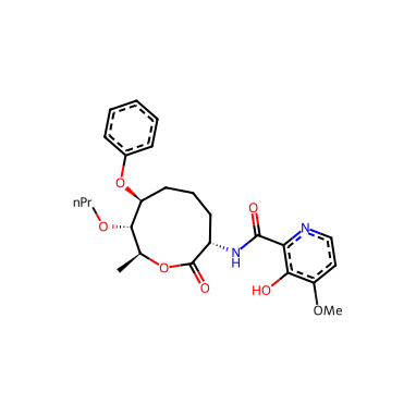 CCCO[C@H]1[C@H](C)OC(=O)[C@@H](NC(=O)c2nccc(OC)c2O)CCC[C@@H]1Oc1ccccc1